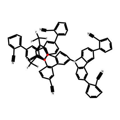 N#Cc1ccc(-n2c3ccc(-c4ccccc4C#N)cc3c3cc(-c4ccccc4C#N)ccc32)c(-c2cc(-n3c4ccc(-c5ccccc5C#N)cc4c4cc(-c5ccccc5C#N)ccc43)ccc2-c2cc(C(F)(F)F)cc(C(F)(F)F)c2)c1